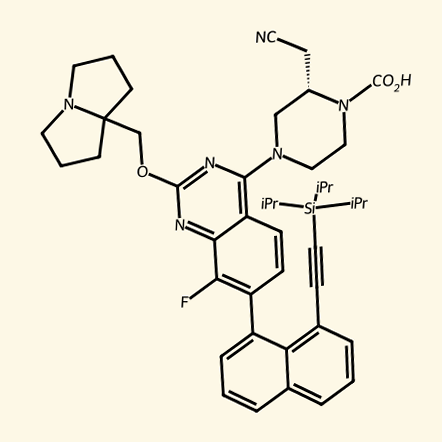 CC(C)[Si](C#Cc1cccc2cccc(-c3ccc4c(N5CCN(C(=O)O)[C@@H](CC#N)C5)nc(OCC56CCCN5CCC6)nc4c3F)c12)(C(C)C)C(C)C